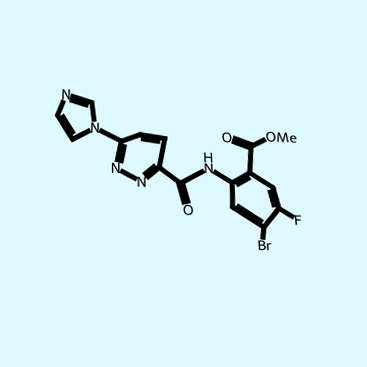 COC(=O)c1cc(F)c(Br)cc1NC(=O)c1ccc(-n2ccnc2)nn1